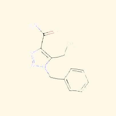 [CH2]Cc1c(C(N)=O)nnn1Cc1ccccc1